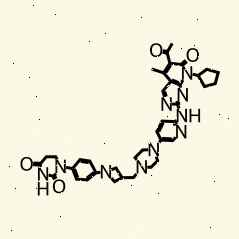 CC(=O)c1c(C)c2cnc(Nc3ccc(N4CCN(CC5CN(c6ccc(N7CCC(=O)NC7=O)cc6)C5)CC4)cn3)nc2n(C2CCCC2)c1=O